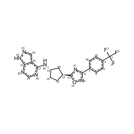 FC(F)(F)c1ccc(-c2noc([C@H]3CC[C@H](Nc4ncnc5[nH]ncc45)C3)n2)cc1